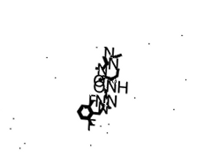 Cc1ncc2n1CC[C@@H](NC(=O)c1ncn(Cc3c(F)cccc3F)n1)C(=O)N2C